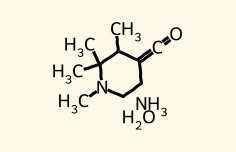 CC1C(=C=O)CCN(C)C1(C)C.N.O